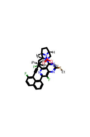 CCSc1nc2c3c(nc(-c4cccc5ccc(F)c(C#C[Si](C(C)C)(C(C)C)C(C)C)c45)c(F)c3n1)[C@@H](F)C[C@@H]1[C@@H]3CC[C@H](CN21)N3C(=O)OC(C)(C)C